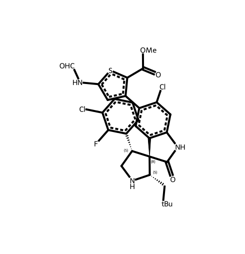 COC(=O)c1sc(NC=O)cc1-c1cc2c(cc1Cl)NC(=O)[C@@]21[C@H](CC(C)(C)C)NC[C@@H]1c1cccc(Cl)c1F